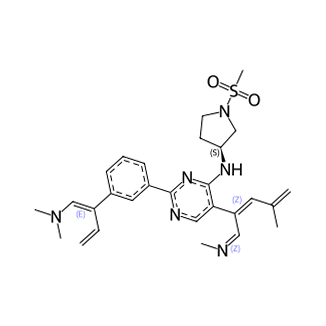 C=C/C(=C\N(C)C)c1cccc(-c2ncc(C(/C=N\C)=C/C(=C)C)c(N[C@H]3CCN(S(C)(=O)=O)C3)n2)c1